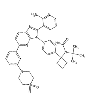 CC(C)(C)N(C(=O)O)C1(c2ccc(-n3c(-c4cccnc4N)nc4ccc(-c5cccc(N6CCS(=O)(=O)CC6)c5)nc43)cc2)CCC1